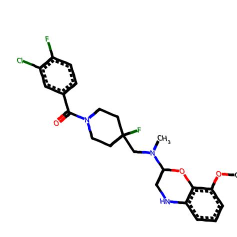 COc1cccc2c1OC(N(C)CC1(F)CCN(C(=O)c3ccc(F)c(Cl)c3)CC1)CN2